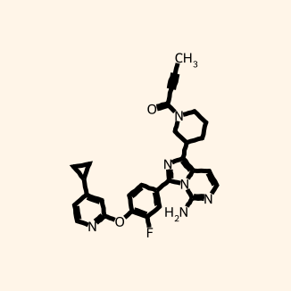 CC#CC(=O)N1CCCC(c2nc(-c3ccc(Oc4cc(C5CC5)ccn4)c(F)c3)n3c(N)nccc23)C1